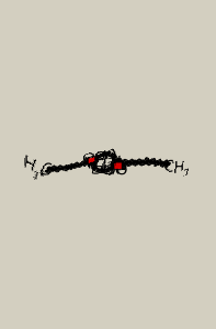 CCCCCCCCCCCCCCC(C)(CO)CN1CCOCCOCCN(CC(C)(CO)CCCCCCCCCCCCCC)CCOCCOCC1